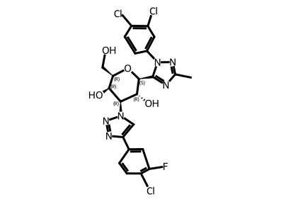 Cc1nc([C@@H]2O[C@H](CO)[C@H](O)[C@H](n3cc(-c4ccc(Cl)c(F)c4)nn3)[C@H]2O)n(-c2ccc(Cl)c(Cl)c2)n1